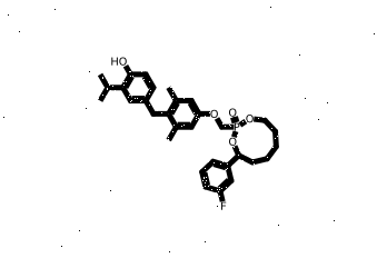 Cc1cc(OCP2(=O)OCCCCCC(c3cccc(F)c3)O2)cc(C)c1Cc1ccc(O)c(C(C)C)c1